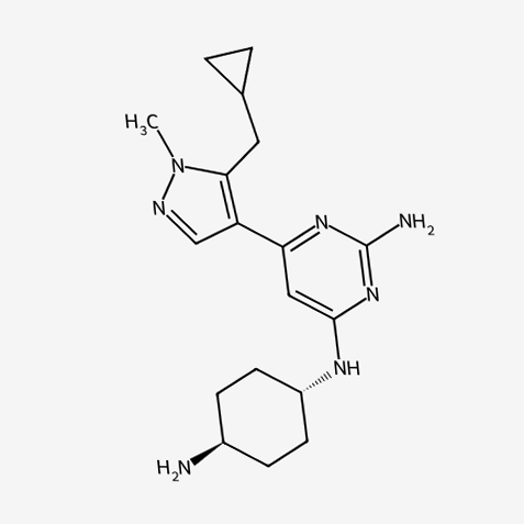 Cn1ncc(-c2cc(N[C@H]3CC[C@H](N)CC3)nc(N)n2)c1CC1CC1